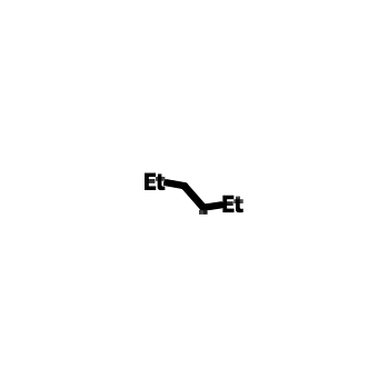 [CH2]C[C]CC[CH2]